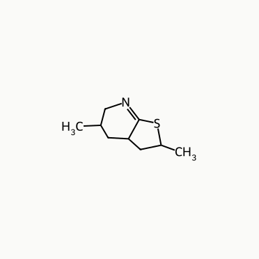 CC1CN=C2SC(C)CC2C1